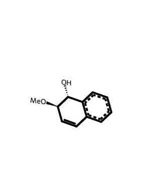 CO[C@@H]1C=Cc2ccccc2[C@H]1O